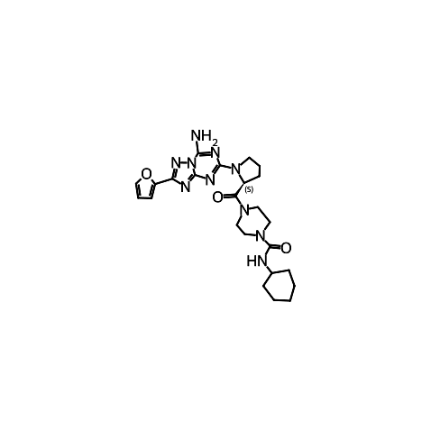 Nc1nc(N2CCC[C@H]2C(=O)N2CCN(C(=O)NC3CCCCC3)CC2)nc2nc(-c3ccco3)nn12